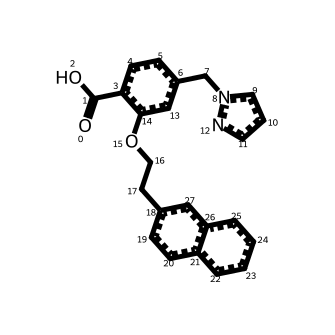 O=C(O)c1ccc(Cn2cccn2)cc1OCCc1ccc2ccccc2c1